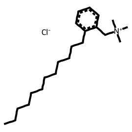 CCCCCCCCCCCCc1ccccc1C[N+](C)(C)C.[Cl-]